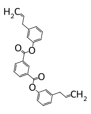 C=CCc1cccc(OC(=O)c2cccc(C(=O)Oc3cccc(CC=C)c3)c2)c1